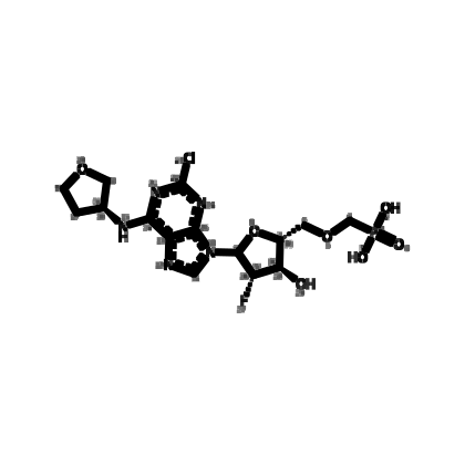 O=P(O)(O)COC[C@H]1OC(n2cnc3c(N[C@H]4CCOC4)nc(Cl)nc32)[C@@H](F)[C@@H]1O